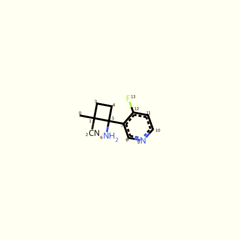 CC1(C#N)CCC1(N)c1[c]nccc1F